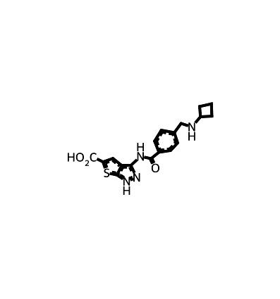 O=C(Nc1n[nH]c2sc(C(=O)O)cc12)c1ccc(CNC2CCC2)cc1